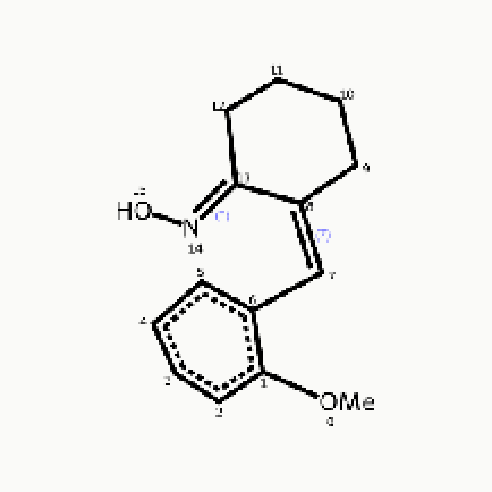 COc1ccccc1/C=C1/CCCC/C1=N\O